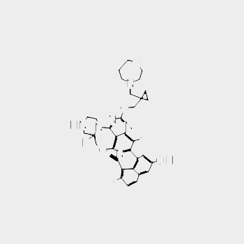 C#Cc1c(F)ccc2cc(O)cc(-c3nc4c5c(nc(OCC6(CN7CCCOCC7)CC6)nc5c3F)N3CCNC[C@H]3CO4)c12